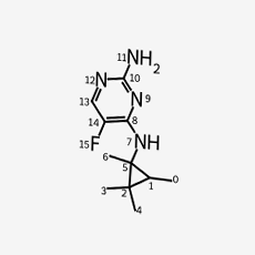 CC1C(C)(C)C1(C)Nc1nc(N)ncc1F